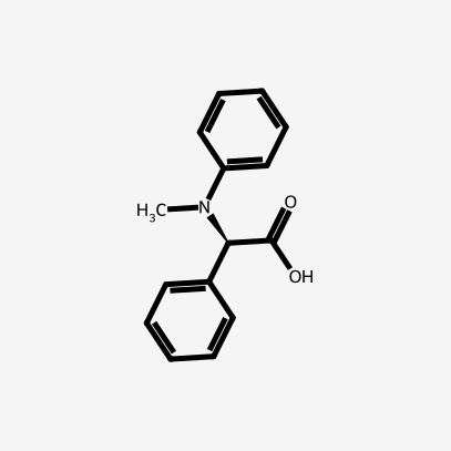 CN(c1ccccc1)[C@@H](C(=O)O)c1ccccc1